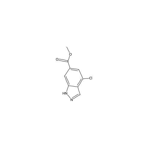 COC(=O)c1cc(Cl)c2cn[nH]c2c1